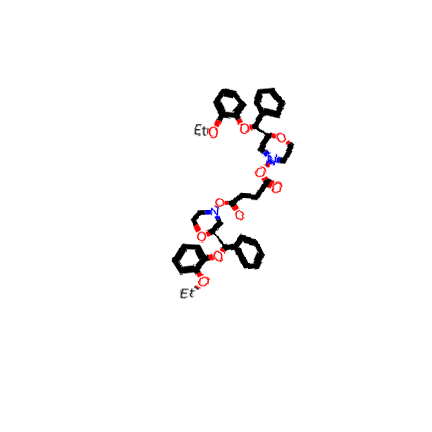 CCOc1ccccc1OC(c1ccccc1)[C@@H]1CN(OC(=O)CCC(=O)ON2CCO[C@H](C(Oc3ccccc3OCC)c3ccccc3)C2)CCO1